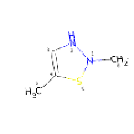 [CH2]N1NC=C(C)S1